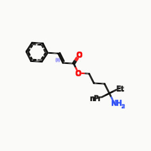 CCCC(N)(CC)CCCOC(=O)/C=C/c1ccccc1